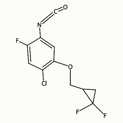 O=C=Nc1cc(OCC2CC2(F)F)c(Cl)cc1F